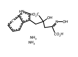 N.N.O=C(O)C(CC(O)(Cc1c[nH]c2ccccc12)C(=O)O)=NO